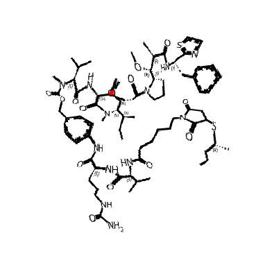 CCC[C@@H](C)SC1CC(=O)N(CCCCCC(=O)N[C@H](C(=O)N[C@@H](CCCNC(N)=O)C(=O)Nc2ccc(COC(=O)N(C)[C@H](C(=O)N[C@H](C(=O)N(C)[C@@H]([C@@H](C)CC)[C@@H](CC(=O)N3CCC[C@H]3[C@H](OC)[C@@H](C)C(=O)N[C@@H](Cc3ccccc3)c3nccs3)OC)C(C)C)C(C)C)cc2)C(C)C)C1=O